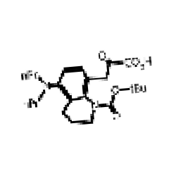 CCCN(CCC)c1ccc(CC(=O)C(=O)O)c2c1CCCN2C(=O)OC(C)(C)C